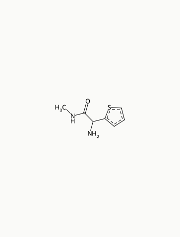 CNC(=O)C(N)c1cccs1